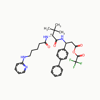 CC(C)(C)[C@@H](NC(=O)CCCCNc1ccccn1)C(=O)NC(CC(=O)OC(=O)C(F)(F)F)c1ccc(-c2ccccc2)cc1